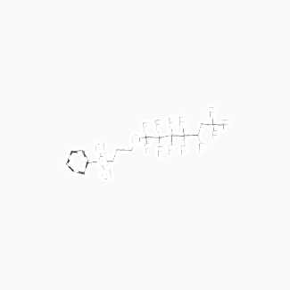 FC(CC(F)(F)F)C(F)(F)C(F)(F)C(F)(F)C(F)(F)OCCC[Si](Cl)(Cl)c1ccccc1